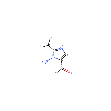 CC(=O)c1cnc(C(C)C)n1N